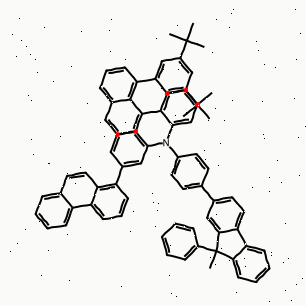 CC(C)(C)c1cc(-c2cccc3cccc(-c4ccccc4N(c4ccc(-c5ccc6c(c5)C(C)(c5ccccc5)c5ccccc5-6)cc4)c4cccc(-c5cccc6c5ccc5ccccc56)c4)c23)cc(C(C)(C)C)c1